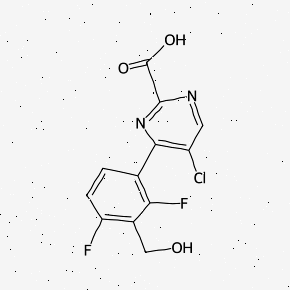 O=C(O)c1ncc(Cl)c(-c2ccc(F)c(CO)c2F)n1